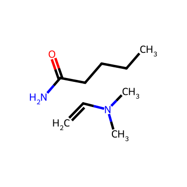 C=CN(C)C.CCCCC(N)=O